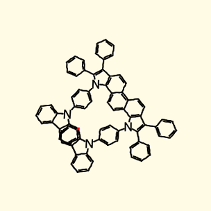 c1ccc(-c2c(-c3ccccc3)n(-c3ccc(-n4c5ccccc5c5ccccc54)cc3)c3c2ccc2c4ccc5c(-c6ccccc6)c(-c6ccccc6)n(-c6ccc(-n7c8ccccc8c8ccccc87)cc6)c5c4ccc23)cc1